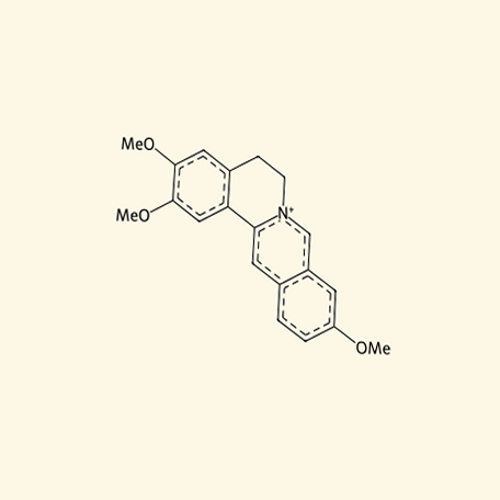 COc1ccc2cc3[n+](cc2c1)CCc1cc(OC)c(OC)cc1-3